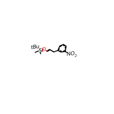 CC(C)(C)[Si](C)(C)OC=CCc1cccc([N+](=O)[O-])c1